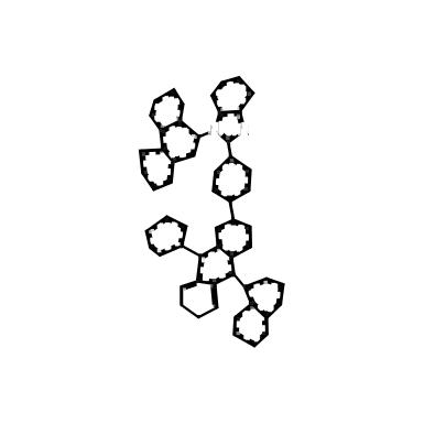 C1=c2c(-c3ccccc3)c3cc(-c4ccc(-c5nc6ccccc6n5-c5cc6ccccc6c6ccccc56)cc4)ccc3c(-c3cccc4ccccc34)c2=CCC1